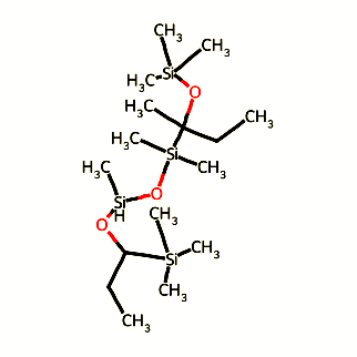 CCC(O[SiH](C)O[Si](C)(C)C(C)(CC)O[Si](C)(C)C)[Si](C)(C)C